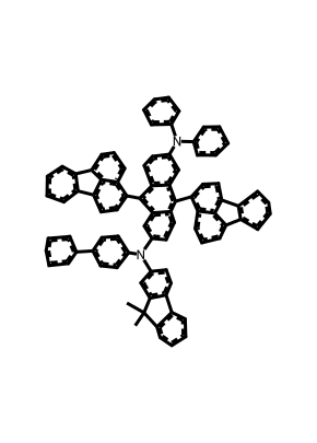 CC1(C)c2ccccc2-c2ccc(N(c3ccc(-c4ccccc4)cc3)c3ccc4c(-c5ccc6c7c(cccc57)-c5ccccc5-6)c5cc(N(c6ccccc6)c6ccccc6)ccc5c(-c5ccc6c7c(cccc57)-c5ccccc5-6)c4c3)cc21